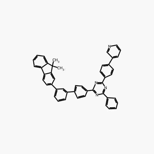 CC1(C)c2ccccc2-c2ccc(-c3cccc(-c4ccc(-c5nc(-c6ccccc6)nc(-c6ccc(-c7cccnc7)cc6)n5)cc4)c3)cc21